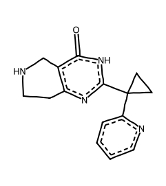 O=c1[nH]c(C2(c3ccccn3)CC2)nc2c1CNCC2